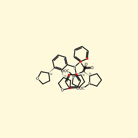 O=C([O-])N1CCC[C@H]1C(=O)[N+]1(N(c2cccc([C@@H]3CCOC3)c2[C@@H]2CCOC2)[N+]2(C(=O)[C@@H]3CCCN3C(=O)[O-])Cc3ccc2cc3)Cc2ccc1cc2